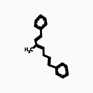 CC(C=Cc1ccccc1)=CCC=Cc1ccccc1